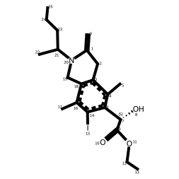 C=C1Cc2c(C)c([C@H](O)C(=O)OCC)c(I)c(C)c2CN1C(C)CCC